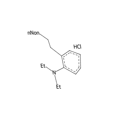 CCCCCCCCCCCc1ccccc1N(CC)CC.Cl